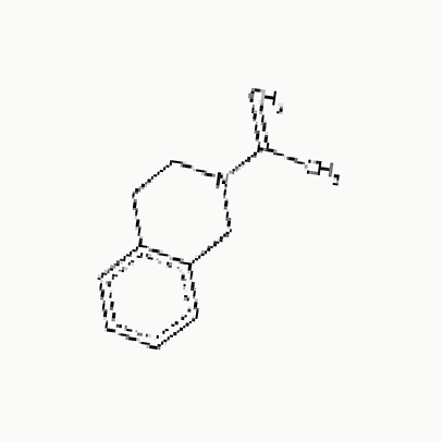 C=C(C)N1CCc2ccccc2C1